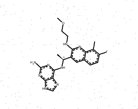 COCCNc1nc2c(C)c(F)ccc2cc1[C@H](C)Nc1nc(N)nc2[nH]cnc12